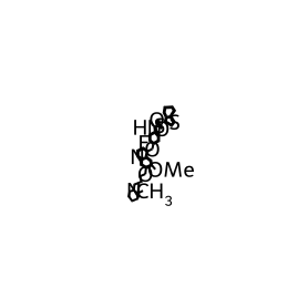 COc1cc2c(Oc3ccc(NS(=O)(=O)c4csc5ccccc45)cc3F)ccnc2cc1OCCCN1CCCCC1C